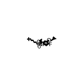 CC(C)(C)C/C=C/CCCS(=O)(=O)NC1(c2ccc(F)c(OCC3CC3)c2)CC1